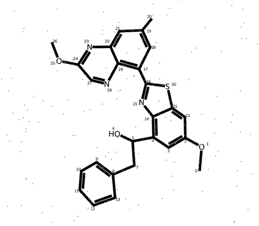 COc1cc(C(O)Cc2ccccc2)c2nc(-c3cc(C)cc4nc(OC)cnc34)sc2c1